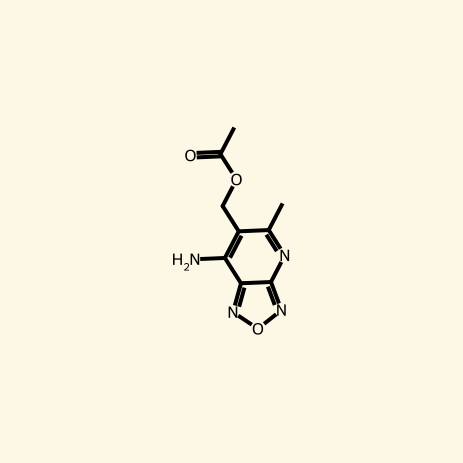 CC(=O)OCc1c(C)nc2nonc2c1N